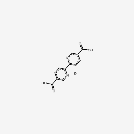 O=C(O)c1ccc(-c2ccc(C(=O)O)cn2)nc1.[K]